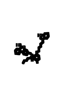 CCCCc1nc2c(C)ccc(OCCCCCN3CNC4CC=CC=C43)c2n1Cc1ccc(-c2ccccc2C(=O)O)cc1